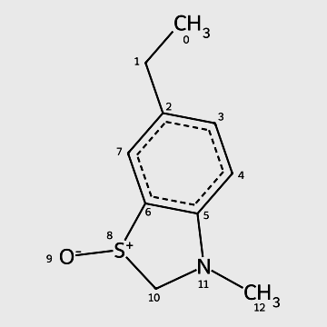 CCc1ccc2c(c1)[S+]([O-])CN2C